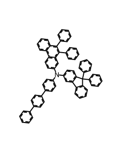 c1ccc(-c2ccc(-c3ccc(N(c4ccc5c(c4)-c4ccccc4C5(c4ccccc4)c4ccccc4)c4ccc5c(c4)c(-c4ccccc4)c(-c4ccccc4)c4ccccc45)cc3)cc2)cc1